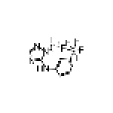 Cn1ncnc1Nc1cccc(S(F)(F)(F)(F)F)c1